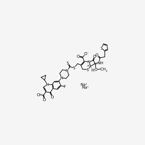 CO[C@@]1(NC(=O)Cc2cccs2)C(=O)N2C(C(=O)[O-])=C(CSC(=S)N3CCN(c4cc5c(cc4F)c(=O)c(C(=O)[O-])cn5C4CC4)CC3)CS[C@@H]21.[Na+].[Na+]